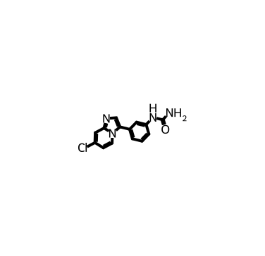 NC(=O)Nc1cccc(-c2cnc3cc(Cl)ccn23)c1